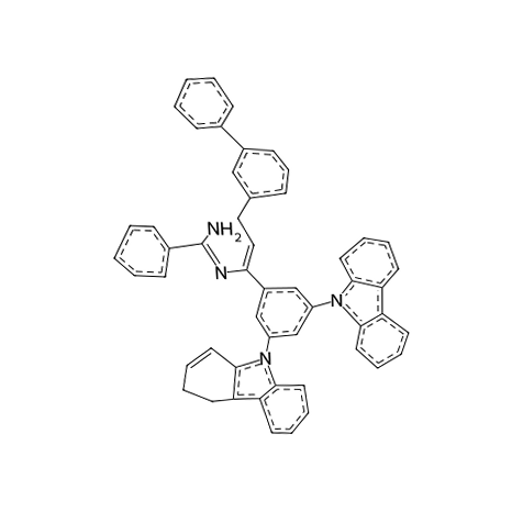 N/C(=N\C(=C/Cc1cccc(-c2ccccc2)c1)c1cc(-n2c3c(c4ccccc42)CCC=C3)cc(-n2c3ccccc3c3ccccc32)c1)c1ccccc1